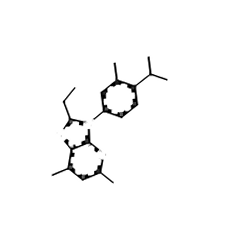 CCc1nc2c(C)cc(C)nc2n1-c1ccc(C(C)C)c(C)c1